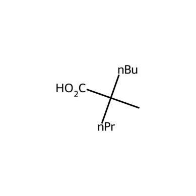 CCCCC(C)(CCC)C(=O)O